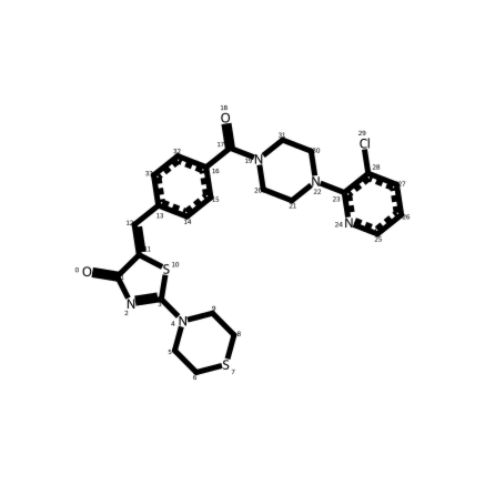 O=C1N=C(N2CCSCC2)S/C1=C\c1ccc(C(=O)N2CCN(c3ncccc3Cl)CC2)cc1